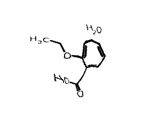 CCOc1ccccc1C(=O)O.O